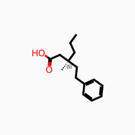 CCC[C@@](C)(CCc1ccccc1)CC(=O)O